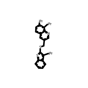 CC(C)c1ccc2cc(CSc3sc4ccccc4c3C(C)C)cnc2c1C(C)C